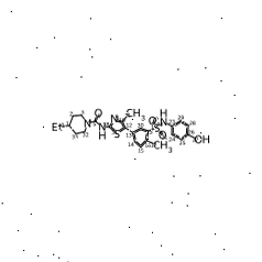 CCC1CCN(C(=O)Nc2nc(C)c(-c3ccc(C)c(S(=O)(=O)Nc4ccc(O)cc4)c3)s2)CC1